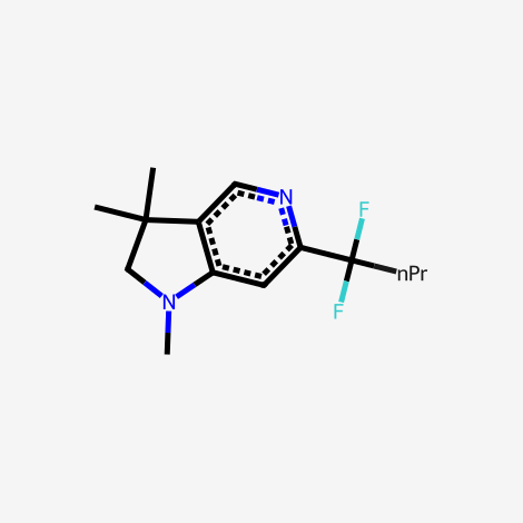 CCCC(F)(F)c1cc2c(cn1)C(C)(C)CN2C